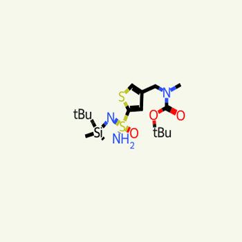 CN(Cc1csc(S(N)(=O)=N[Si](C)(C)C(C)(C)C)c1)C(=O)OC(C)(C)C